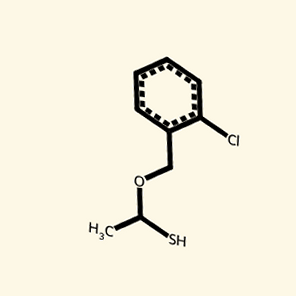 CC(S)OCc1ccccc1Cl